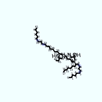 CCCCC/C=C\C/C=C\C(CCCCCCC)N(CCCCN(CCCCCCCC/C=C/C/C=C\CCCCC)CC(O)CC)CC(O)CN